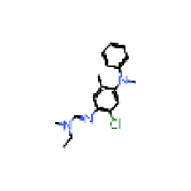 CCN(C)C=Nc1cc(C)c(N(C)c2ccccc2)cc1Cl